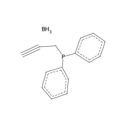 B.C#CCP(c1ccccc1)c1ccccc1